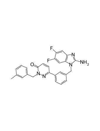 Cc1cccc(Cn2nc(-c3cccc(Cn4c(N)nc5cc(F)c(F)cc54)c3)ccc2=O)c1